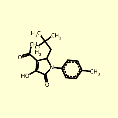 CC(=O)C1=C(O)C(=O)N(c2ccc(C)cc2)C1CC(C)(C)C